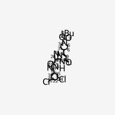 CC(C)(C)OC(=O)N1CCC(c2cc(=O)[nH]c3c(-c4nc(-c5cc(Cl)cc(Cl)c5)no4)cnn23)CC1